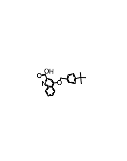 CC(C)(C)c1ccc(COc2cc(C(=O)O)nc3ccccc23)cc1